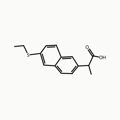 CCSc1ccc2cc(C(C)C(=O)O)ccc2c1